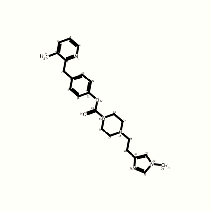 Cc1cccnc1Cc1ccc(OC(=O)N2CCN(CCc3cn(C)cn3)CC2)cc1